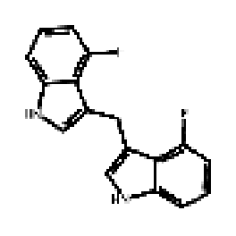 Fc1cccc2[nH]cc(Cc3c[nH]c4cccc(F)c34)c12